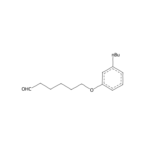 CCCCc1cccc(OCCCCCC=O)c1